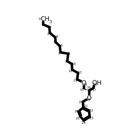 CCCCCCCCCCCCCCOC[C@H](CO)OCc1ccccc1